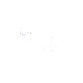 COc1cc2c(cc1OC)CN(CCCNC(=O)/C(=N/O)C(C)=O)CC2.Cl